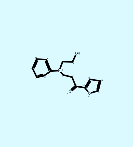 O=C(CCN(CCO)c1ccccc1)c1ccco1